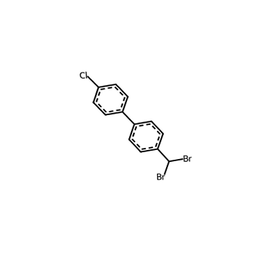 Clc1ccc(-c2ccc(C(Br)Br)cc2)cc1